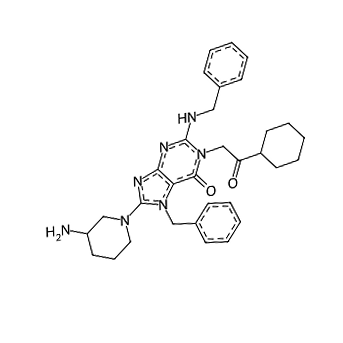 NC1CCCN(c2nc3nc(NCc4ccccc4)n(CC(=O)C4CCCCC4)c(=O)c3n2Cc2ccccc2)C1